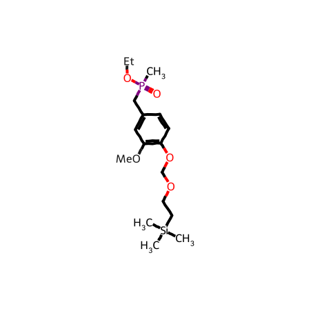 CCOP(C)(=O)Cc1ccc(OCOCC[Si](C)(C)C)c(OC)c1